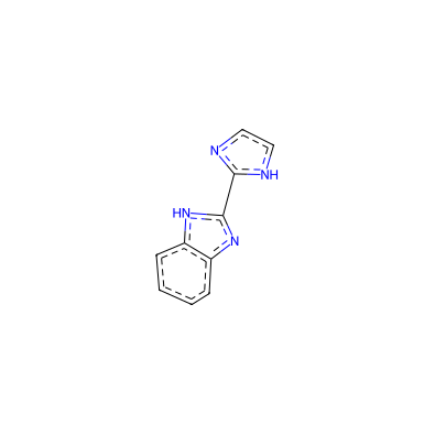 c1ccc2[nH]c(-c3ncc[nH]3)nc2c1